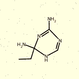 CCC1(N)N=C(N)N=CN1